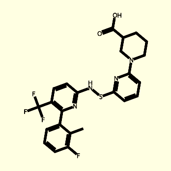 Cc1c(F)cccc1-c1nc(NSc2cccc(N3CCCC(C(=O)O)C3)n2)ccc1C(F)(F)F